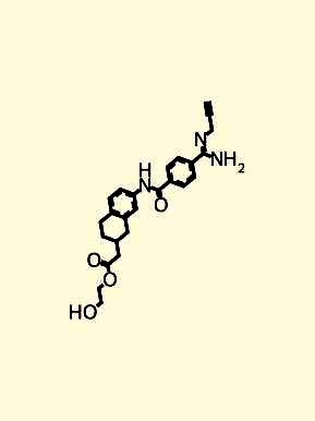 C#CCN=C(N)c1ccc(C(=O)Nc2ccc3c(c2)CC(CC(=O)OCCO)CC3)cc1